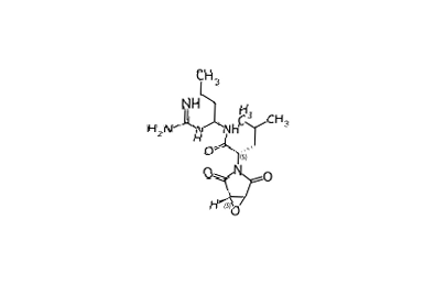 CCCC(NC(=N)N)NC(=O)[C@H](CC(C)C)N1C(=O)C2O[C@@H]2C1=O